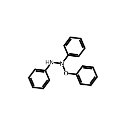 c1ccc(NN(Oc2ccccc2)c2ccccc2)cc1